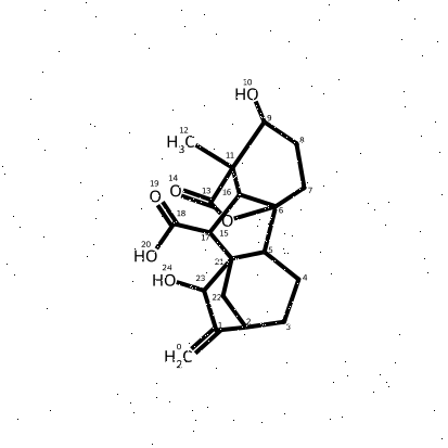 C=C1C2CCC3C45CCC(O)C(C)(C(=O)O4)C5C(C(=O)O)C3(C2)C1O